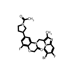 CC(=O)N1CCC(c2cc(F)c3c(c2)N(Cc2c(C)nc4cc(F)c(Br)cn24)C(=O)CO3)C1